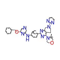 C[C@H]1COCCN1c1nc(-c2ccc(Nc3cncc(OCc4ccccc4)n3)cc2)nc2c1CCN(c1ncccn1)C2